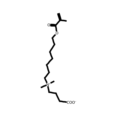 C=C(C)C(=O)OCCCCCCC[N+](C)(C)CCCC(=O)[O-]